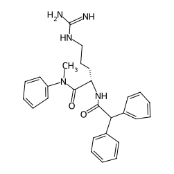 CN(C(=O)[C@H](CCCNC(=N)N)NC(=O)C(c1ccccc1)c1ccccc1)c1ccccc1